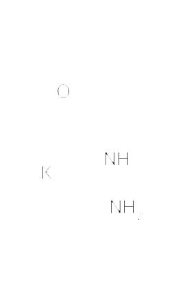 NNC=O.[K]